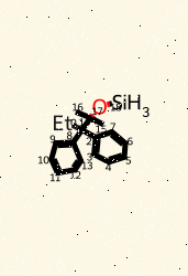 CCC(c1ccccc1)(c1ccccc1)C(C)(C)O[SiH3]